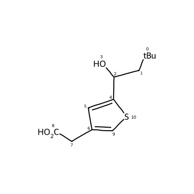 CC(C)(C)CC(O)c1cc(CC(=O)O)cs1